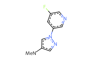 CNc1cnn(-c2cncc(F)c2)c1